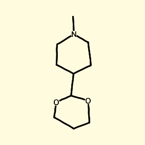 CN1CCC(C2OCCCO2)CC1